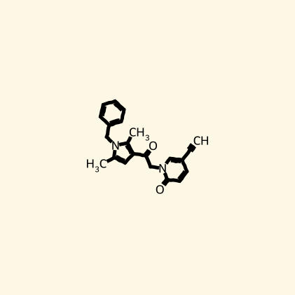 C#Cc1ccc(=O)n(CC(=O)c2cc(C)n(Cc3ccccc3)c2C)c1